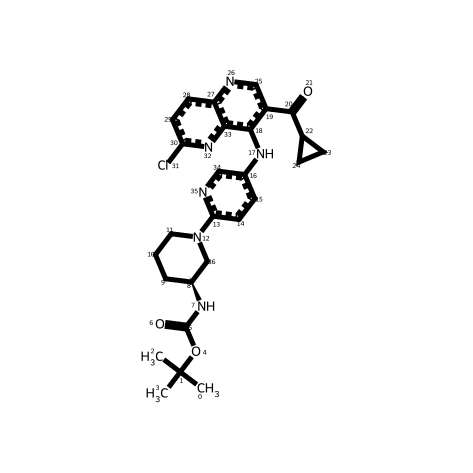 CC(C)(C)OC(=O)N[C@H]1CCCN(c2ccc(Nc3c(C(=O)C4CC4)cnc4ccc(Cl)nc34)cn2)C1